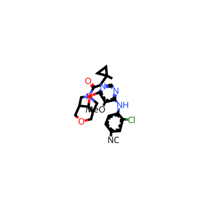 [C-]#[N+]c1ccc(Nc2ncnc(OC3C4COCC3CN(C(=O)CC3(C)CC3)C4)c2OC)c(Cl)c1